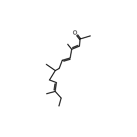 CC/C(C)=C/CC(C)C/C=C/C(C)=C/C(C)=O